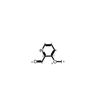 O=Cc1ncccc1OI